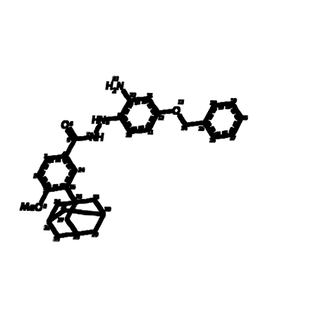 COc1ccc(C(=O)NNc2ccc(OCc3ccccc3)cc2N)cc1C12CC3CC(CC(C3)C1)C2